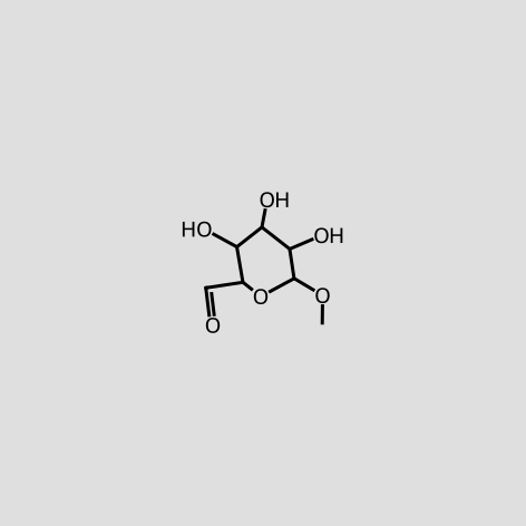 COC1OC(C=O)C(O)C(O)C1O